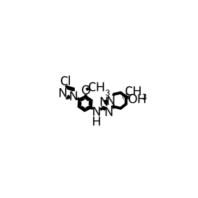 COc1cc(Nc2nc3n(n2)CC[C@](C)(O)CC3)ccc1-n1cnc(Cl)c1